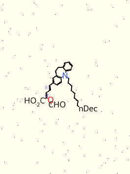 CCCCCCCCCCCCCCCCCCN1c2ccccc2CCc2cc(/C=C/C=C(\OC=O)C(=O)O)ccc21